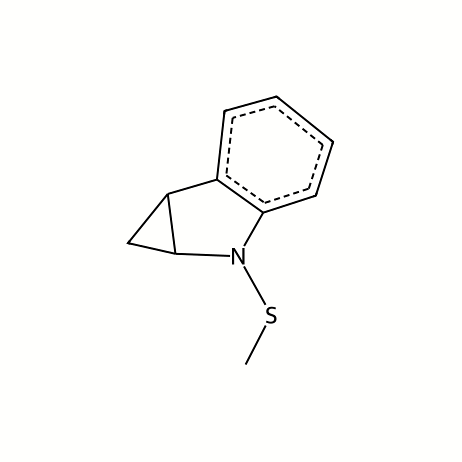 CSN1c2ccccc2C2CC21